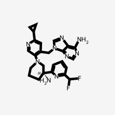 Nc1ncnc2c1ncn2Cc1cc(C2CC2)ncc1N1CCC[C@](N)(c2cccc(C(F)F)n2)C1